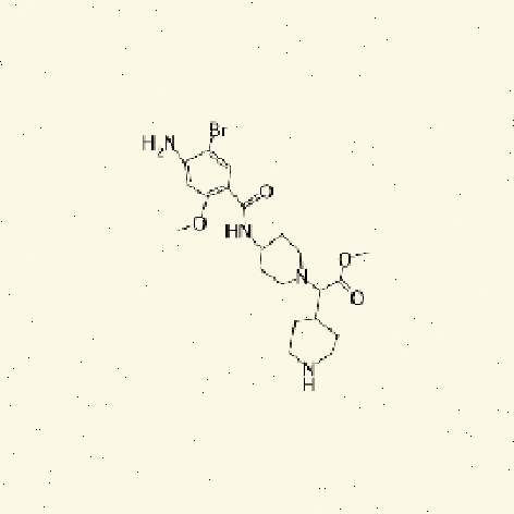 COC(=O)C(C1CCNCC1)N1CCC(NC(=O)c2cc(Br)c(N)cc2OC)CC1